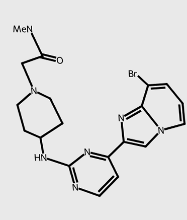 CNC(=O)CN1CCC(Nc2nccc(-c3cn4cccc(Br)c4n3)n2)CC1